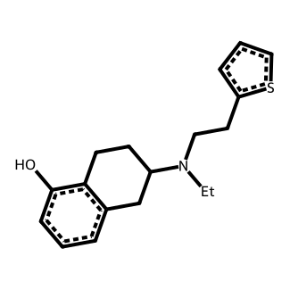 CCN(CCc1cccs1)C1CCc2c(O)cccc2C1